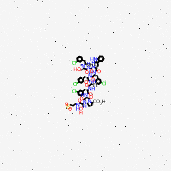 CC[C@H](NC(=O)[C@H](Cc1ccc(Cl)cc1)N(C)C(=O)[C@H](Cc1cccc(Cl)c1)NC(=O)[C@H](Cc1c[nH]c2ccccc12)NC(=O)NC(=O)[C@H](CO)N(C)C(Cc1cccc(Cl)c1)NC(C)=O)C(=O)N[C@@H](Cc1cccc(Cl)c1)C(=O)NC(C(=O)N[C@@H](CO)C(=O)NCCCS(C)(=O)=O)C(=O)N1CCC[C@H]1C(=O)O